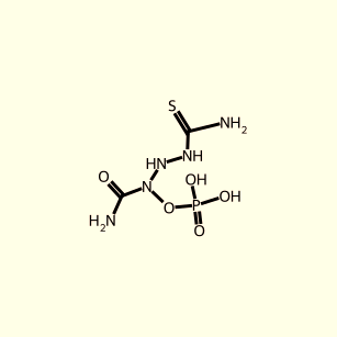 NC(=O)N(NNC(N)=S)OP(=O)(O)O